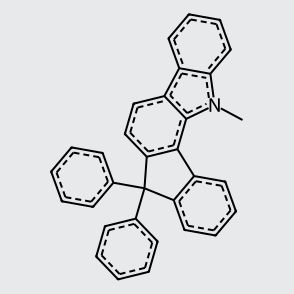 Cn1c2ccccc2c2ccc3c(c21)-c1ccccc1C3(c1ccccc1)c1ccccc1